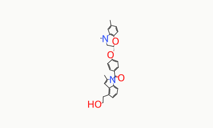 Cc1ccc2c(c1)N(C)C[C@@H](COc1ccc(C(=O)n3c(C)cc4c(CCO)cccc43)cc1)O2